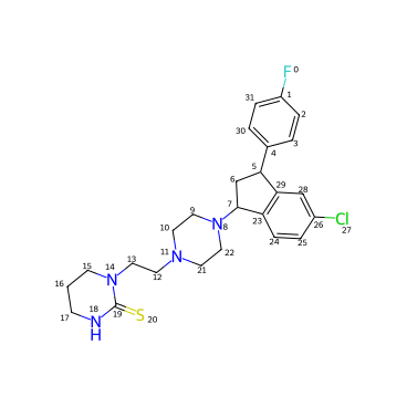 Fc1ccc(C2CC(N3CCN(CCN4CCCNC4=S)CC3)c3ccc(Cl)cc32)cc1